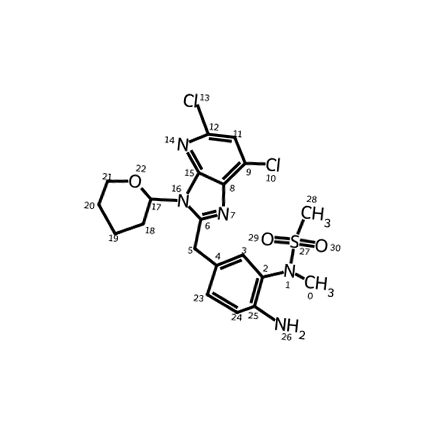 CN(c1cc(Cc2nc3c(Cl)cc(Cl)nc3n2C2CCCCO2)ccc1N)S(C)(=O)=O